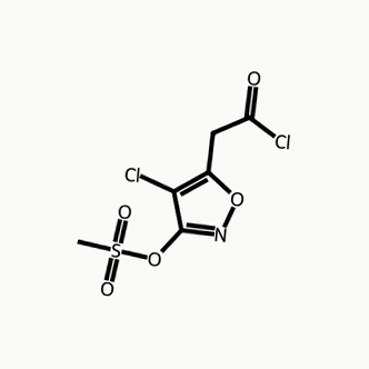 CS(=O)(=O)Oc1noc(CC(=O)Cl)c1Cl